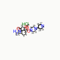 CCC1CCCC2(C(=O)ON3CCN(c4ccncc4)CC3)C(=O)CC(=O)C12N.Cl